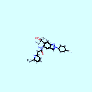 CCC1CCC(n2cc3cc(NC(=O)Cc4cccc(C(F)(F)F)n4)c(C(C)(C)O)cc3n2)CC1